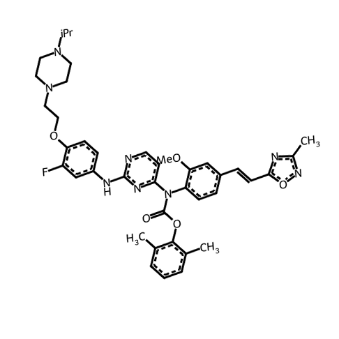 COc1cc(C=Cc2nc(C)no2)ccc1N(C(=O)Oc1c(C)cccc1C)c1ccnc(Nc2ccc(OCCN3CCN(C(C)C)CC3)c(F)c2)n1